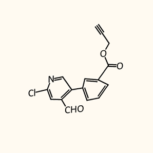 C#CCOC(=O)c1cccc(-c2cnc(Cl)cc2C=O)c1